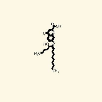 CCCCCCCCC=C(Sc1ccc2c(=O)cc(C(=O)O)oc2c1)[C@@H](O)CCCC